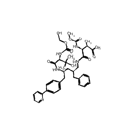 COC(=O)N[C@H](C(=O)NC[C@@H](Cc1ccccc1)C[C@@H](Cc1ccc(-c2ccccn2)cc1)NC(=O)[C@@H](NC(=O)OCO)C(C)(C)C)C(C)C(=O)O